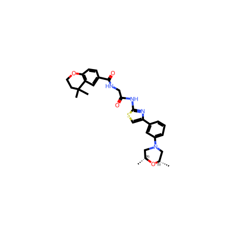 C[C@@H]1CN(c2cccc(-c3csc(NC(=O)CNC(=O)c4ccc5c(c4)C(C)(C)CCO5)n3)c2)C[C@H](C)O1